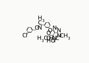 COC(=O)C(=NO)c1c(Oc2cccc(C(C)=NOCc3cccc(Cl)c3)c2)ncnc1N(C)C